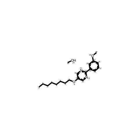 CCCCCCCCOc1cnc(-c2cccc(OC)c2)nc1.CO